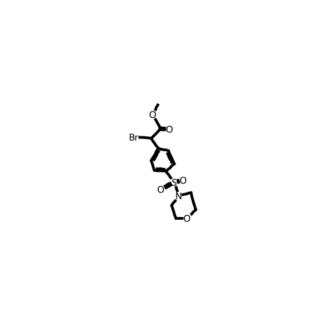 COC(=O)C(Br)c1ccc(S(=O)(=O)N2CCOCC2)cc1